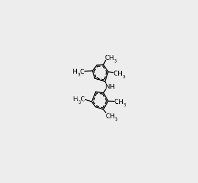 Cc1cc(C)c(C)c(Nc2cc(C)cc(C)c2C)c1